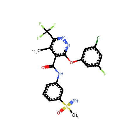 Cc1c(C(F)(F)F)nnc(Oc2cc(F)cc(Cl)c2)c1C(=O)Nc1cccc(S(C)(=N)=O)c1